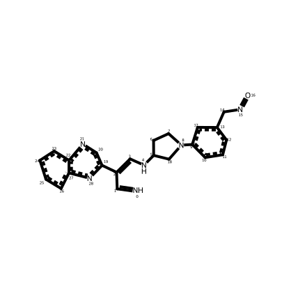 N=C/C(=C\NC1CCN(c2cccc(CN=O)c2)C1)c1cnc2ccccc2n1